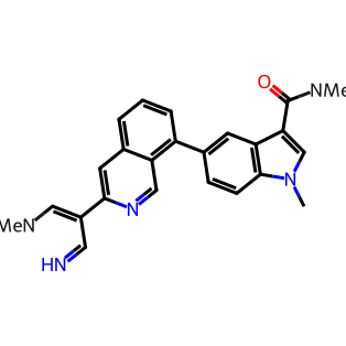 CN/C=C(\C=N)c1cc2cccc(-c3ccc4c(c3)c(C(=O)NC)cn4C)c2cn1